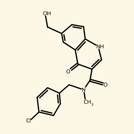 CN(Cc1ccc(Cl)cc1)C(=O)c1c[nH]c2ccc(CO)cc2c1=O